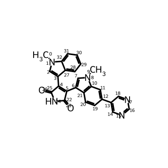 Cn1cc(C2=C(c3cn(C)c4cc(-c5cncnc5)ccc34)C(=O)NC2=O)c2ccccc21